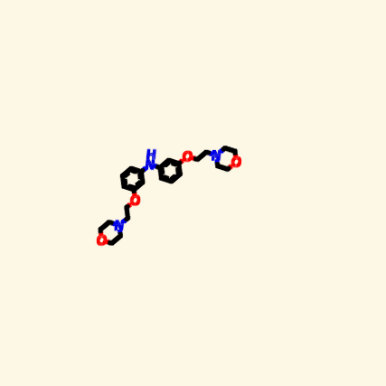 c1cc(Nc2cccc(OCCN3CCOCC3)c2)cc(OCCN2CCOCC2)c1